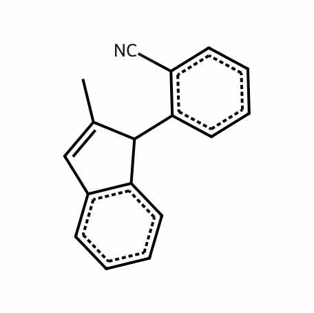 CC1=Cc2ccccc2C1c1ccccc1C#N